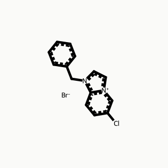 Clc1ccc2n(Cc3ccccc3)cc[n+]2c1.[Br-]